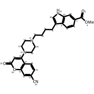 COC(=O)c1ccc2c(CCCCN3CCN(c4cc(=O)oc5cc(C#N)ccc45)CC3)c[nH]c2c1